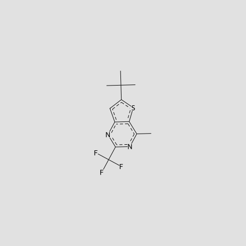 Cc1nc(C(F)(F)F)nc2cc(C(C)(C)C)sc12